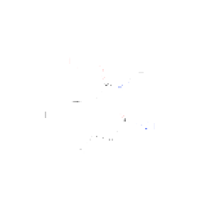 CCCC(=O)NC.CCCC(=O)NC.O